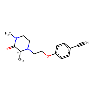 C#Cc1ccc(OCCN2CCN(C)C(=O)[C@H]2C)cc1